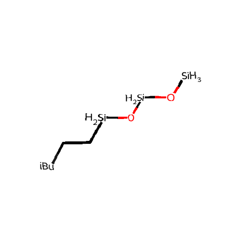 CCC(C)CC[SiH2]O[SiH2]O[SiH3]